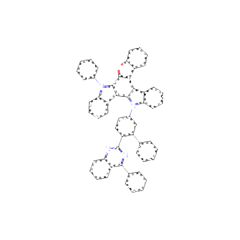 c1ccc(-c2cc(-n3c4ccccc4c4c5c6ccccc6oc5c5c(c6ccccc6n5-c5ccccc5)c43)ccc2-c2nc(-c3ccccc3)c3ccccc3n2)cc1